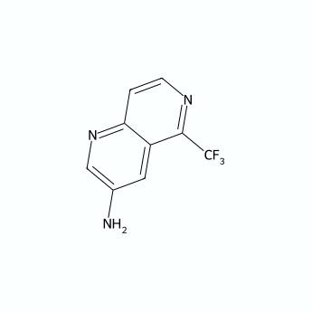 Nc1cnc2ccnc(C(F)(F)F)c2c1